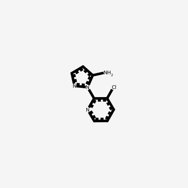 Nc1ccnn1-c1ncccc1Cl